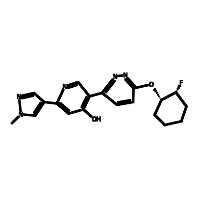 Cn1cc(-c2cc(O)c(-c3ccc(O[C@H]4CCCC[C@H]4F)nn3)cn2)cn1